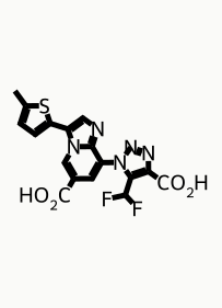 Cc1ccc(-c2cnc3c(-n4nnc(C(=O)O)c4C(F)F)cc(C(=O)O)cn23)s1